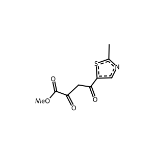 COC(=O)C(=O)CC(=O)c1cnc(C)s1